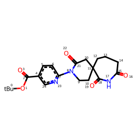 CC(C)(C)OC(=O)c1ccc(N2CCC3(CCCC(=O)NC3=O)CC2=O)nc1